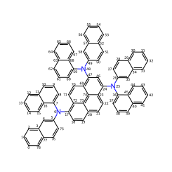 c1ccc2cc(N(c3cccc4ccccc34)c3ccc4ccc5c(N(c6ccc7ccccc7c6)c6cccc7ccccc67)cc(N(c6ccc7ccccc7c6)c6cccc7ccccc67)c6ccc3c4c56)ccc2c1